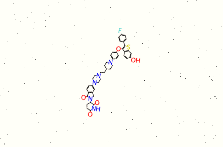 O=C1CCC(N2Cc3cc(N4CCN(CCC5CCN(c6ccc(Oc7c(-c8ccc(F)cc8)sc8cc(O)ccc78)cc6)CC5)CC4)ccc3C2=O)C(=O)N1